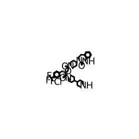 O=C(O[C@H](Cc1ccc(C(F)(F)F)c(Cl)c1)C(=O)N1CCC(C2CCNCC2)CC1)N1CCC(N2CCc3ccccc3NC2=O)CC1